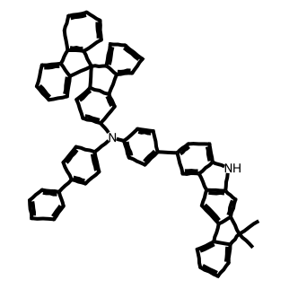 CC1(C)c2ccccc2-c2cc3c(cc21)[nH]c1ccc(-c2ccc(N(c4ccc(-c5ccccc5)cc4)c4ccc5c(c4)-c4ccccc4C54C5=C(CC=CC=C5)c5ccccc54)cc2)cc13